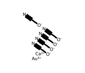 N#C[O-].N#C[O-].N#C[O-].N#C[O-].N#C[O-].[Au+3].[Ca+2]